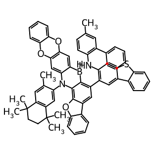 Cc1ccc(Nc2cc3sc4ccccc4c3cc2-c2cc3c(oc4ccccc43)c3c2Bc2cc4c(cc2N3c2cc3c(cc2C)C(C)(C)CCC3(C)C)Oc2ccccc2O4)c(-c2ccccc2)c1